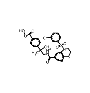 CC(C)(CNC(=O)c1ccc2c(c1)N(S(=O)(=O)c1cccc(Cl)c1)CCS2)c1ccc(C(=O)OO)cc1